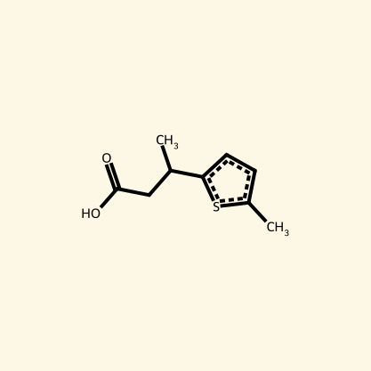 Cc1ccc(C(C)CC(=O)O)s1